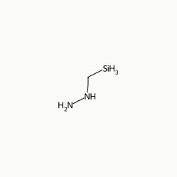 NNC[SiH3]